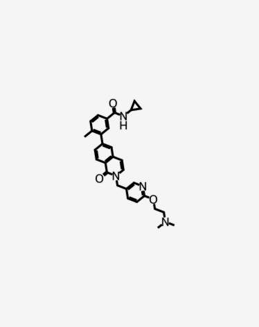 Cc1ccc(C(=O)NC2CC2)cc1-c1ccc2c(=O)n(Cc3ccc(OCCN(C)C)nc3)ccc2c1